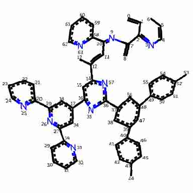 C=C/C(=N\C=C/C)C(=C)/N=C(\C=C(/C)c1cc(-c2cc(-c3ccccn3)nc(-c3ccccn3)c2)nc(-c2cc(-c3ccc(C)cc3)cc(-c3ccc(C)cc3)c2)n1)c1ccccn1